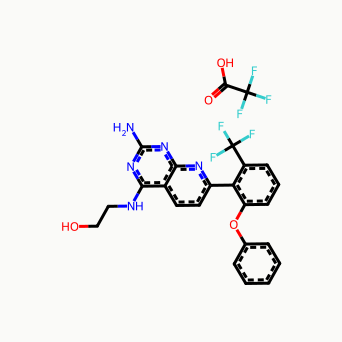 Nc1nc(NCCO)c2ccc(-c3c(Oc4ccccc4)cccc3C(F)(F)F)nc2n1.O=C(O)C(F)(F)F